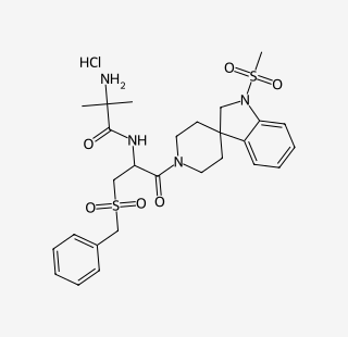 CC(C)(N)C(=O)NC(CS(=O)(=O)Cc1ccccc1)C(=O)N1CCC2(CC1)CN(S(C)(=O)=O)c1ccccc12.Cl